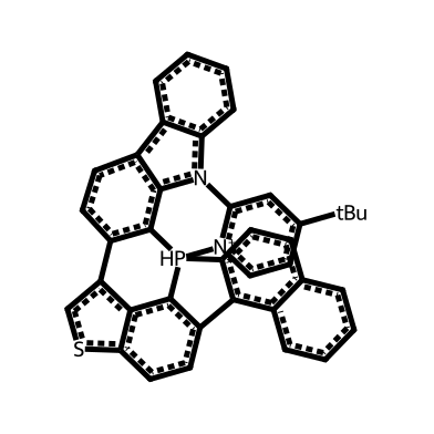 CC(C)(C)c1cc[n+]2c(c1)-n1c3ccccc3c3ccc4c(c31)[PH]21c2ccc3ccccc3c2-c2ccc3scc-4c3c21